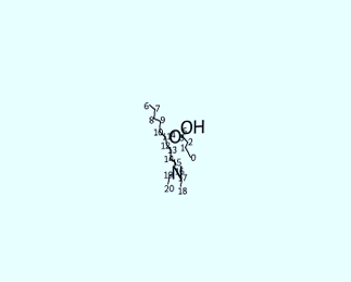 CCCC(=O)O.CCCCCCCCCCN(CC)CC